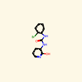 O=C(Nc1ccccc1Br)Nc1cccnc1O